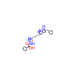 O=C(Nc1nnc(CCCCc2cc3cc(Cc4ccccc4)[nH]c3nn2)s1)[C@H](O)c1ccccc1